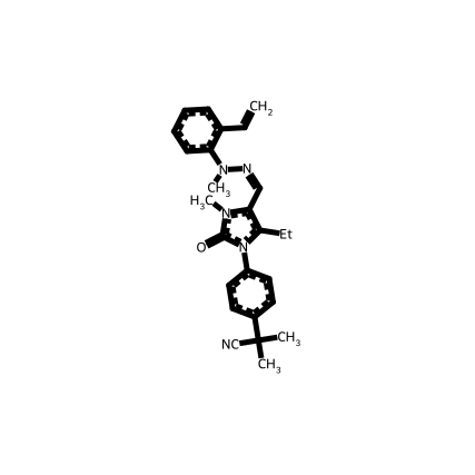 C=Cc1ccccc1N(C)/N=C\c1c(CC)n(-c2ccc(C(C)(C)C#N)cc2)c(=O)n1C